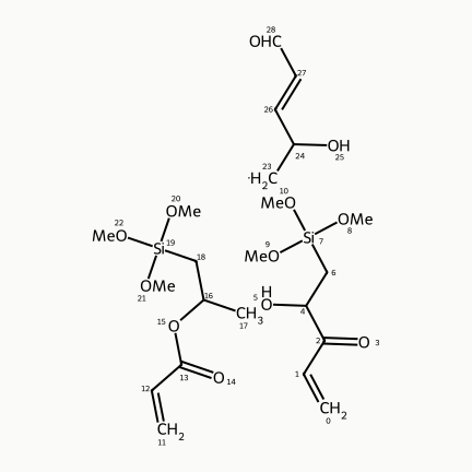 C=CC(=O)C(O)C[Si](OC)(OC)OC.C=CC(=O)OC(C)C[Si](OC)(OC)OC.[CH2]C(O)C=CC=O